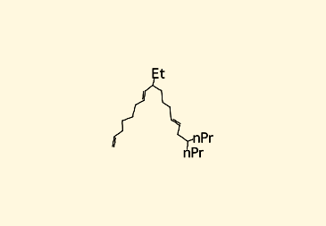 C=CCCCCC=CC(CC)CCCC=CCC(CCC)CCC